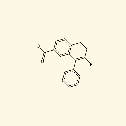 O=C(O)c1ccc2c(c1)C(c1ccccc1)=C(F)CC2